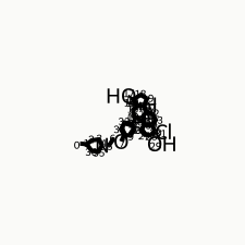 CC1CCN(CCOc2ccc([C@H]3C[C@]4(C)[C@@H](O)CC[C@H]4[C@@H]4CCc5c(ccc(O)c5Cl)[C@H]43)cc2)CC1